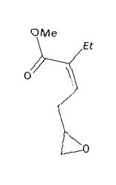 CCC(=CCC1CO1)C(=O)OC